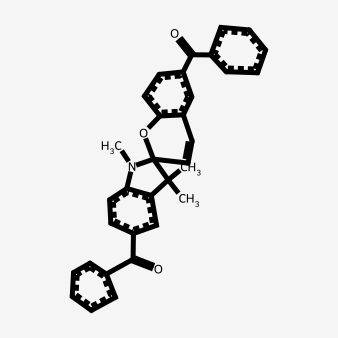 CN1c2ccc(C(=O)c3ccccc3)cc2C(C)(C)C12C=Cc1cc(C(=O)c3ccccc3)ccc1O2